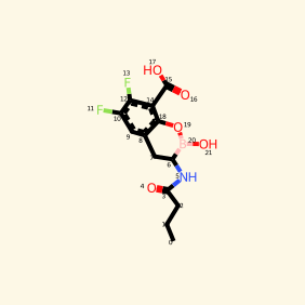 CCCC(=O)NC1Cc2cc(F)c(F)c(C(=O)O)c2OB1O